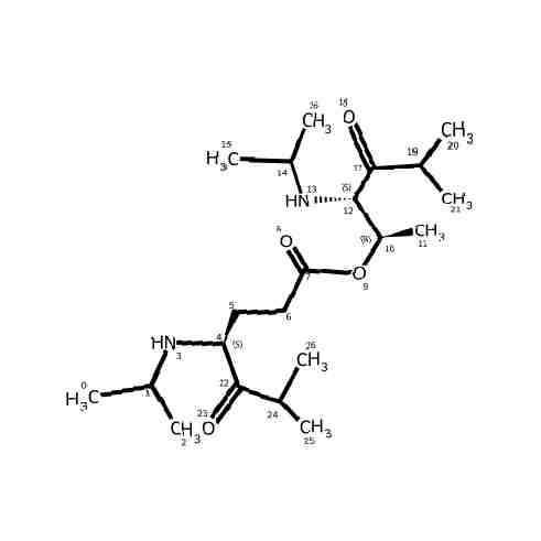 CC(C)N[C@@H](CCC(=O)O[C@H](C)[C@H](NC(C)C)C(=O)C(C)C)C(=O)C(C)C